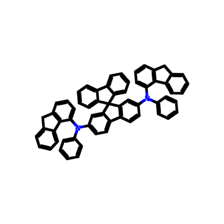 c1ccc(N(c2ccc3c(c2)C2(c4ccccc4-c4ccccc42)c2cc(N(c4ccccc4)c4cccc5c4-c4ccccc4C5)ccc2-3)c2cccc3c2-c2ccccc2C3)cc1